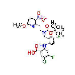 COc1ccc([N+](=O)[O-])c(CCN(Cc2cc(F)ccc2Nc2cc(F)c(Cl)cc2C(=O)O)C(=O)OC(C)(C)C)n1